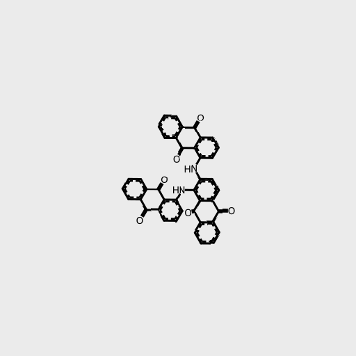 O=C1c2ccccc2C(=O)c2c(Nc3ccc4c(c3Nc3cccc5c3C(=O)c3ccccc3C5=O)C(=O)c3ccccc3C4=O)cccc21